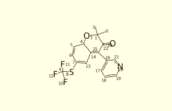 CC1(C)OC2C=CC(SC(F)(F)F)=CC2=C(c2cccnc2)C1=O